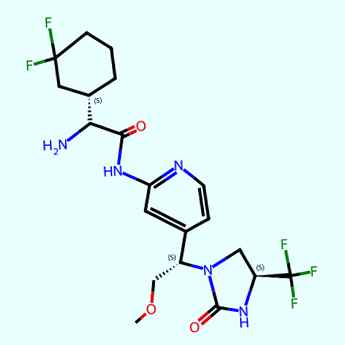 COC[C@H](c1ccnc(NC(=O)C(N)[C@H]2CCCC(F)(F)C2)c1)N1C[C@@H](C(F)(F)F)NC1=O